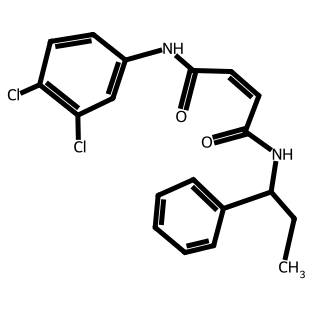 CCC(NC(=O)/C=C\C(=O)Nc1ccc(Cl)c(Cl)c1)c1ccccc1